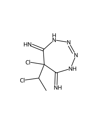 CC(Cl)C1(Cl)C(=N)NN=NNC1=N